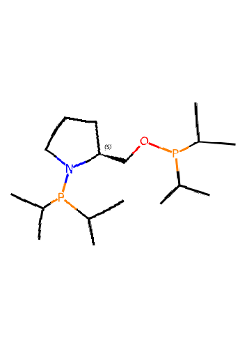 CC(C)P(OC[C@@H]1CCCN1P(C(C)C)C(C)C)C(C)C